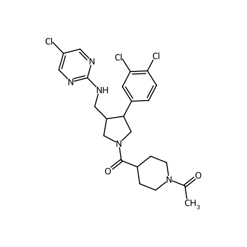 CC(=O)N1CCC(C(=O)N2CC(CNc3ncc(Cl)cn3)C(c3ccc(Cl)c(Cl)c3)C2)CC1